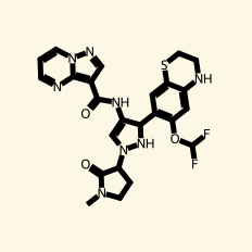 CN1CCC(N2C=C(NC(=O)c3cnn4cccnc34)C(c3cc4c(cc3OC(F)F)NCCS4)N2)C1=O